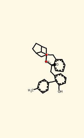 Cc1ccc(-c2c(O)cccc2CC(=O)OCC2C3CCC2C[N+](C)(Cc2ccccc2)C3)cc1